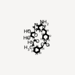 CCNC(=O)[C@H]1O[C@@H](n2cnc3c(N)nc(CC4CCN(C(=O)OCc5ccccc5)CC4)nc32)C(O)[C@H]1O